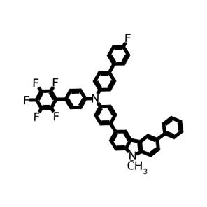 Cn1c2ccc(-c3ccccc3)cc2c2cc(-c3ccc(N(c4ccc(-c5ccc(F)cc5)cc4)c4ccc(-c5c(F)c(F)c(F)c(F)c5F)cc4)cc3)ccc21